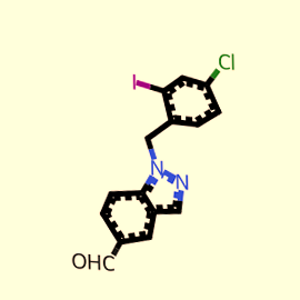 O=Cc1ccc2c(cnn2Cc2ccc(Cl)cc2I)c1